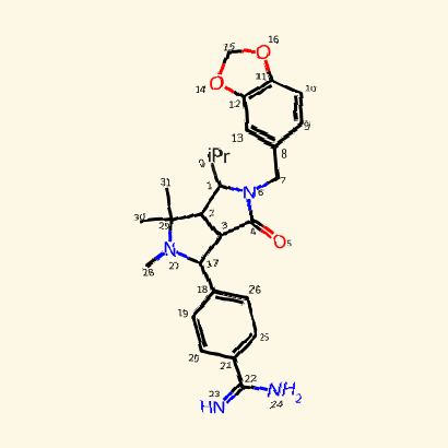 CC(C)C1C2C(C(=O)N1Cc1ccc3c(c1)OCO3)C(c1ccc(C(=N)N)cc1)N(C)C2(C)C